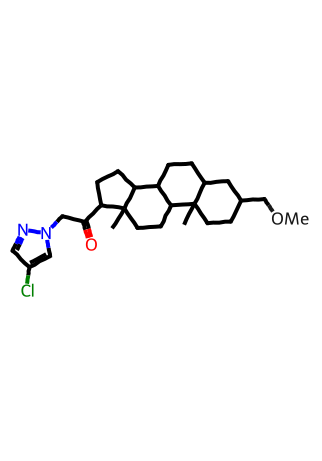 COCC1CCC2(C)C(CCC3C2CCC2(C)C(C(=O)Cn4cc(Cl)cn4)CCC32)C1